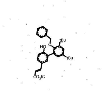 CCOC(=O)C=Cc1ccc(O)c(-c2cc(C(C)(C)C)cc(C(C)(C)C)c2OCc2ccccc2)c1